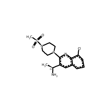 C[C@H](N)c1cc2cccc(Cl)c2nc1N1CCN(S(C)(=O)=O)CC1